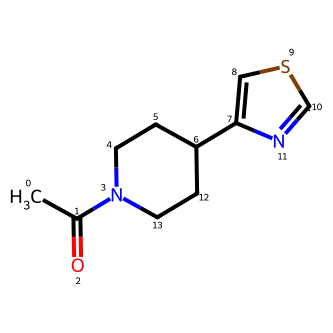 CC(=O)N1CCC(c2cs[c]n2)CC1